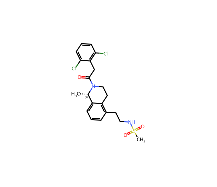 C[C@H]1c2cccc(CCNS(C)(=O)=O)c2CCN1C(=O)Cc1c(Cl)cccc1Cl